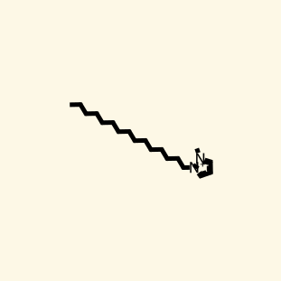 CCCCCCCCCCCCCCC[n+]1cccn1C